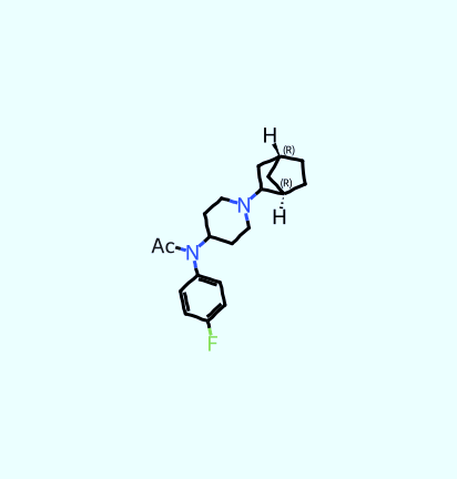 CC(=O)N(c1ccc(F)cc1)C1CCN(C2C[C@@H]3CC[C@@H]2C3)CC1